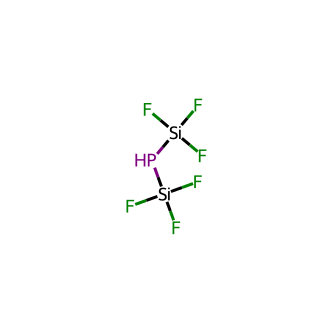 F[Si](F)(F)P[Si](F)(F)F